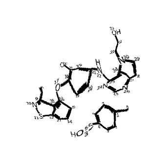 Cc1ccc(S(=O)(=O)O)cc1.Cc1nsc2cccc(Oc3ccc(Nc4ncnc5ccn(CCO)c45)cc3Cl)c12